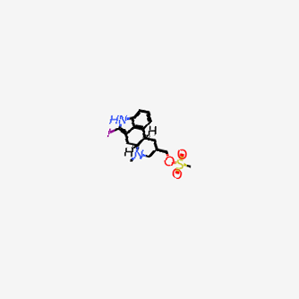 CN1CC(COS(C)(=O)=O)C[C@@H]2c3cccc4[nH]c(I)c(c34)C[C@H]21